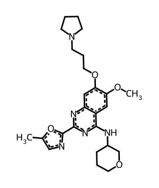 COc1cc2c(NC3CCCOC3)nc(-c3ncc(C)o3)nc2cc1OCCCN1CCCC1